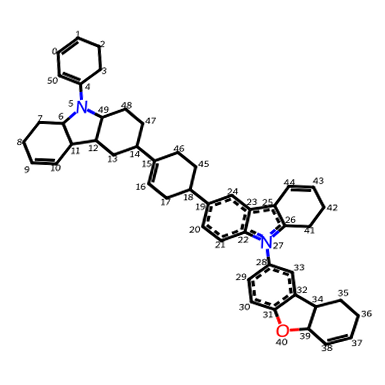 C1=CCCC(N2C3CCC=CC3C3CC(C4=CCC(c5ccc6c(c5)c5c(n6-c6ccc7c(c6)C6CCC=CC6O7)CCC=C5)CC4)CCC32)=C1